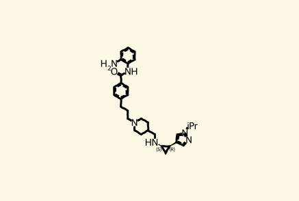 CC(C)n1cc([C@H]2C[C@@H]2NCC2CCN(CCCc3ccc(C(=O)Nc4ccccc4N)cc3)CC2)cn1